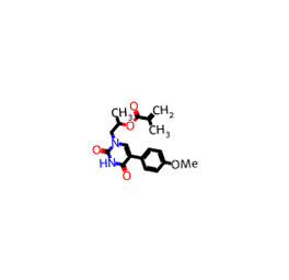 C=C(C)C(=O)OC(C)Cn1cc(-c2ccc(OC)cc2)c(=O)[nH]c1=O